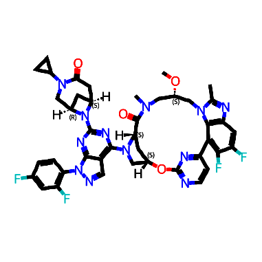 CO[C@H]1CN(C)C(=O)[C@@H]2C[C@@H](CN2c2nc(N3[C@@H]4CC(=O)N(C5CC5)C[C@H]3C4)nc3c2cnn3-c2ccc(F)cc2F)Oc2nccc(n2)-c2c(F)c(F)cc3nc(C)n(c23)C1